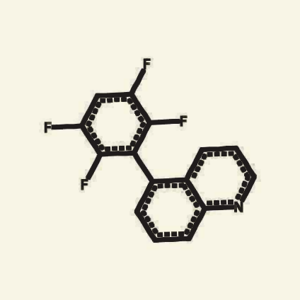 Fc1cc(F)c(F)c(-c2cccc3ncccc23)c1F